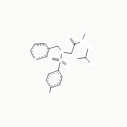 CC(C)C[C@@H](C(=O)NO)N(Cc1cccnc1)S(=O)(=O)c1ccc(O)cc1